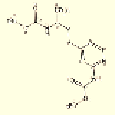 CC(C)(C)OC(=O)Nc1cc(CC[C@H](NC(=O)OC(C)(C)C)C(=O)O)ccn1